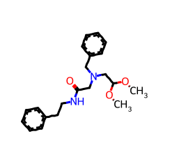 COC(CN(CC(=O)NCCc1ccccc1)Cc1ccccc1)OC